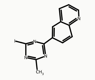 Cc1nc(I)nc(-c2ccc3ncccc3c2)n1